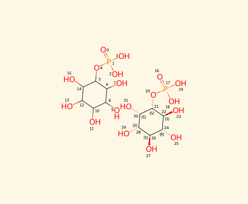 O=P(O)(O)OC1C(O)C(O)C(O)C(O)C1O.O=P(O)(O)O[C@@H]1[C@@H](O)[C@H](O)[C@@H](O)[C@H](O)[C@@H]1O